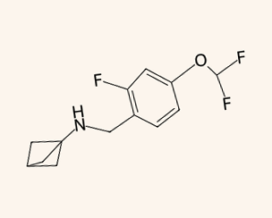 Fc1cc(OC(F)F)ccc1CNC12CC(C1)C2